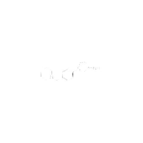 NC1CCN(c2ccc(CN3CCCCC3)cc2)C1